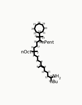 CCCCCCCCC(C)(CCCC/C(C)=C/CCCC(N)CCCC)CCCC(CCCCC)C(C)(C)C1CCCCCCC1